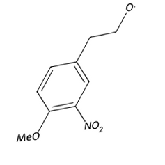 COc1ccc(CC[O])cc1[N+](=O)[O-]